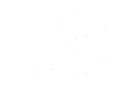 CC(=O)Oc1cc(-c2cc(S(=O)(=O)O)cc3cc(O)c(O)cc23)c2cc(S(=O)(=O)O)ccc2c1